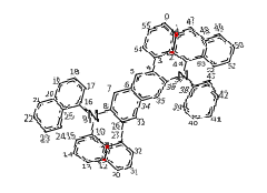 c1ccc(-c2cc3cc(N(c4ccccc4)c4cccc5ccccc45)c(-c4ccccc4)cc3cc2N(c2ccccc2)c2cccc3ccccc23)cc1